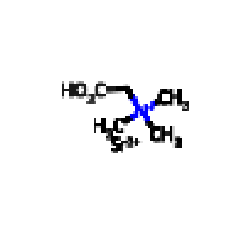 C[N+](C)(C)CC(=O)O.[Sr+2]